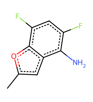 Cc1cc2c(N)c(F)cc(F)c2o1